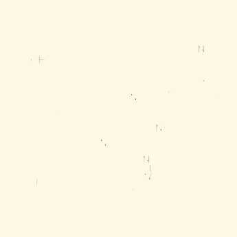 C#Cc1c(F)ccc2cc(O)cc(-c3cnc4c(N5CC6CCC(C5)N6)nc(OCC5(CN(C)C)CC5)nc4c3I)c12